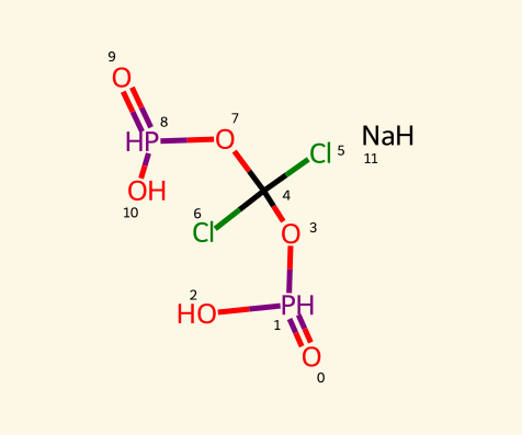 O=[PH](O)OC(Cl)(Cl)O[PH](=O)O.[NaH]